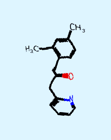 Cc1ccc(CC(=O)Cc2ccccn2)c(C)c1